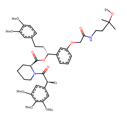 CCOC(C)(C)CCNC(=O)COc1cccc([C@@H](CCc2ccc(OC)c(OC)c2)OC(=O)[C@@H]2CCCCN2C(=O)[C@@H](CC)c2cc(OC)c(OC)c(OC)c2)c1